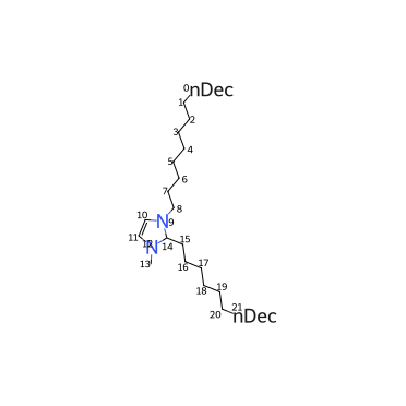 CCCCCCCCCCCCCCCCCCN1C=CN(C)C1CCCCCCCCCCCCCCCC